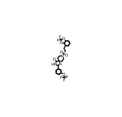 O=C1NC(c2cccc(OC(F)(F)F)c2)=NC12CCN(S(=O)(=O)CCc1cccc3c1OC(F)(F)O3)CC2